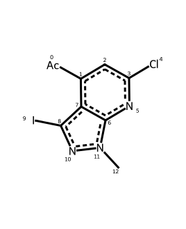 CC(=O)c1cc(Cl)nc2c1c(I)nn2C